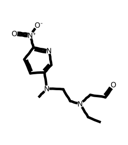 CCN(CC=O)CCN(C)c1ccc([N+](=O)[O-])nc1